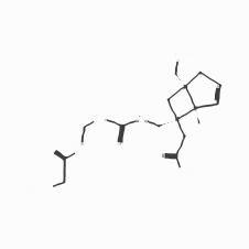 CCC(=O)O[C@H](C)OC(=O)NC[C@@]1(CC(=O)O)C[C@]2(CC)CC=C[C@@H]21